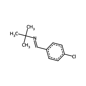 CC(C)(C)/N=C/c1ccc(Cl)cc1